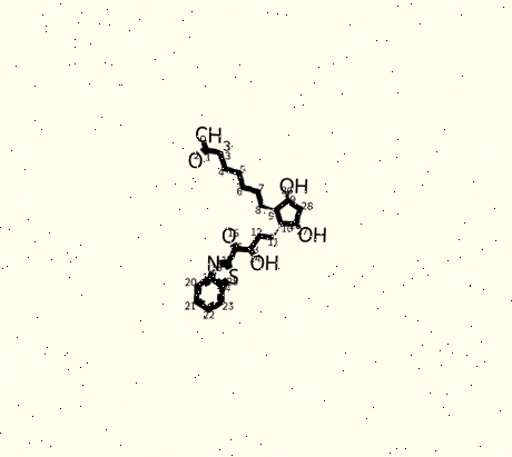 CC(=O)CCCCCC[C@@H]1[C@@H](CCC(O)C(=O)c2nc3ccccc3s2)[C@H](O)C[C@@H]1O